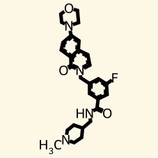 CN1CCC(CNC(=O)c2cc(F)cc(Cn3ccc4cc(N5CCOCC5)ccc4c3=O)c2)CC1